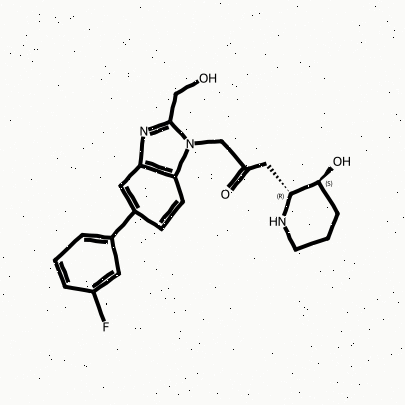 O=C(C[C@H]1NCCC[C@@H]1O)Cn1c(CO)nc2cc(-c3cccc(F)c3)ccc21